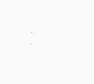 Cc1ccc(CN2CCc3c(ncnc3NCC34CC5CC(CC(C5)C3)C4)C2)cc1C